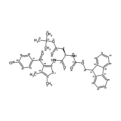 Cc1sc(NC(=O)[C@@H](CC(=O)OC(C)(C)C)NC(=O)OCC2c3ccccc3-c3ccccc32)c(C(=O)c2ccc(Cl)cc2)c1C